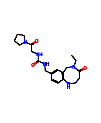 CCN1Cc2cc(CNC(=O)NCC(=O)N3CCCC3)ccc2NCCC1=O